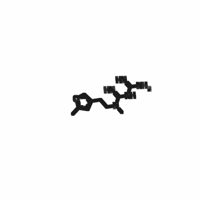 Cc1cc(CCN(C)C(=N)NC(=N)N)co1